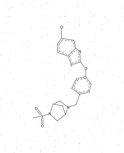 CS(=O)(=O)N1CC2CC1CN2Cc1ccc(Oc2nc3cc(Cl)ccc3s2)cc1